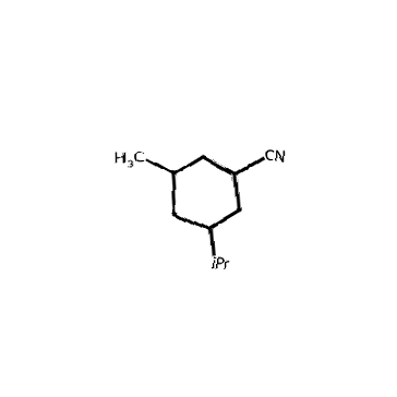 CC1CC(C#N)CC(C(C)C)C1